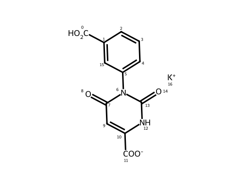 O=C(O)c1cccc(-n2c(=O)cc(C(=O)[O-])[nH]c2=O)c1.[K+]